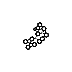 c1ccc2c(c1)-c1ccccc1C21c2ccccc2-c2ccc(N(c3ccc4c(c3)-n3c5ccccc5c5cccc(c53)C43c4ccccc4-c4ccccc43)c3cccc4ccccc34)cc21